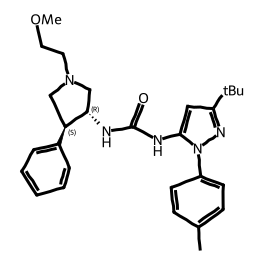 COCCN1C[C@H](NC(=O)Nc2cc(C(C)(C)C)nn2-c2ccc(C)cc2)[C@@H](c2ccccc2)C1